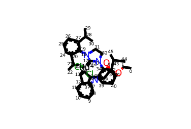 CCOC(=O)C=Nc1ccccc1[CH]=[Ru-4]([Cl])([Cl])=[C]1N(c2c(C(C)C)cccc2C(C)C)CCN1c1c(C(C)C)cccc1C(C)C